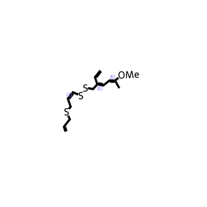 C=CCSC/C=C\SSC/C(C=C)=C/C=C(\C)OC